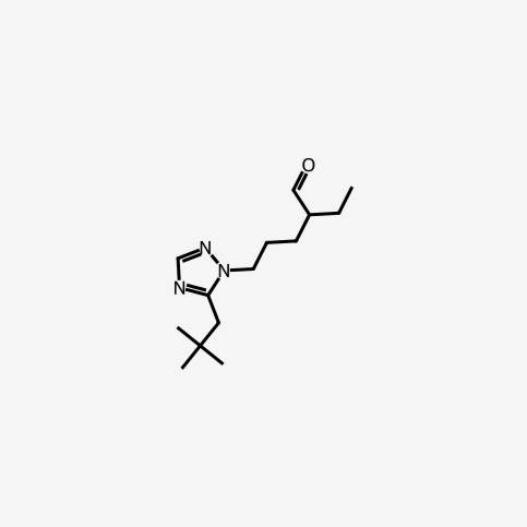 CCC(C=O)CCCn1ncnc1CC(C)(C)C